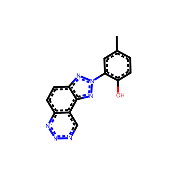 Cc1ccc(O)c(-n2nc3ccc4nnncc4c3n2)c1